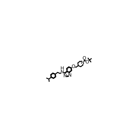 CC(C)c1ccc(CCNc2ncnc3cc(OCC4CCN(C(=O)OC(C)(C)C)CC4)ccc23)cc1